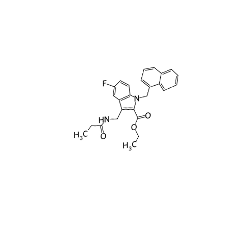 CCOC(=O)c1c(CNC(=O)CC)c2cc(F)ccc2n1Cc1cccc2ccccc12